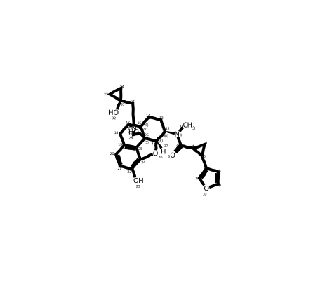 CN(C(=O)C1CC1c1ccoc1)[C@@H]1CC[C@@]2(O)C3Cc4ccc(O)c5c4[C@@]2(CCN3CC2(O)CC2)[C@H]1O5